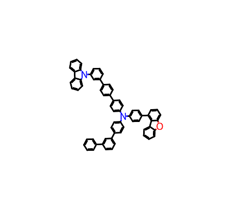 c1ccc(-c2cccc(-c3ccc(N(c4ccc(-c5ccc(-c6cccc(-n7c8ccccc8c8ccccc87)c6)cc5)cc4)c4ccc(-c5cccc6oc7ccccc7c56)cc4)cc3)c2)cc1